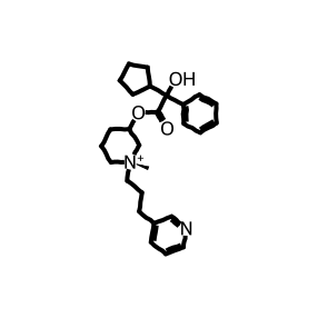 C[N@@+]1(CCCc2cccnc2)CCCC(OC(=O)C(O)(c2ccccc2)C2CCCC2)C1